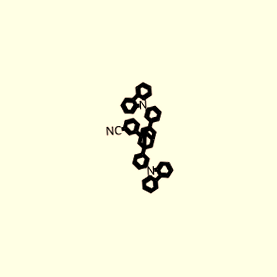 N#Cc1cccc(C23CC4CC(c5cccc(-n6c7ccccc7c7ccccc76)c5)(C2)CC(c2cccc(-n5c6ccccc6c6ccccc65)c2)(C4)C3)c1